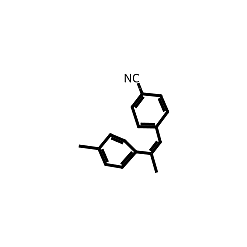 CC(=Cc1ccc(C#N)cc1)c1ccc(C)cc1